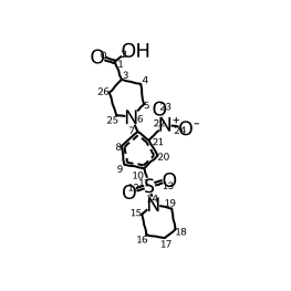 O=C(O)C1CCN(c2ccc(S(=O)(=O)N3CCCCC3)cc2[N+](=O)[O-])CC1